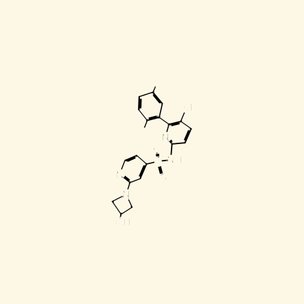 Cc1ccc(F)cc1-c1nc(NS(=O)(=O)c2ccnc(N3CC(O)C3)c2)ccc1Cl